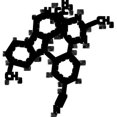 Cc1ccc2c3ccc(C)cc3n(-c3cc(C#N)ccc3-c3nc(C)nc(C)n3)c2c1